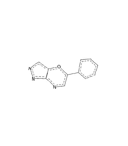 c1ccc(-c2cnc3nncc-3o2)cc1